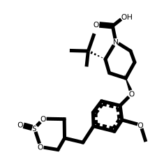 COc1cc(CC2COS(=O)OC2)ccc1O[C@@H]1CCN(C(=O)O)[C@@H](C(C)(C)C)C1